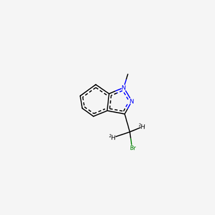 [2H]C([2H])(Br)c1nn(C)c2ccccc12